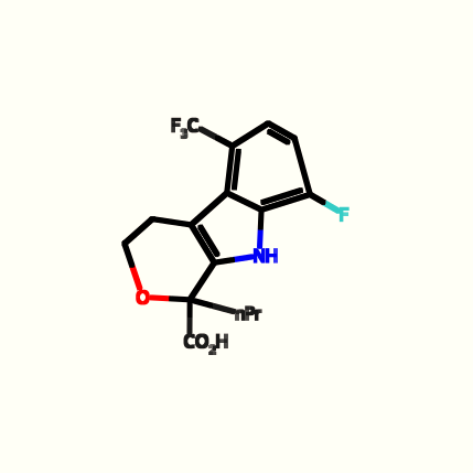 CCCC1(C(=O)O)OCCc2c1[nH]c1c(F)ccc(C(F)(F)F)c21